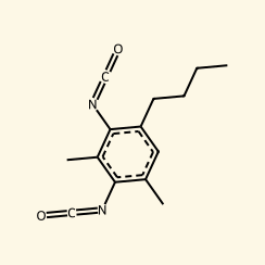 CCCCc1cc(C)c(N=C=O)c(C)c1N=C=O